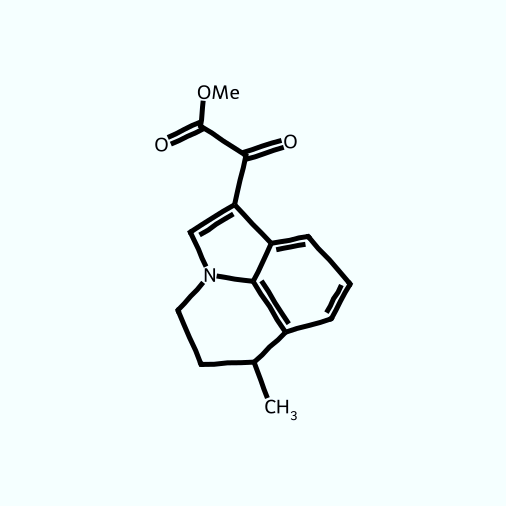 COC(=O)C(=O)c1cn2c3c(cccc13)C(C)CC2